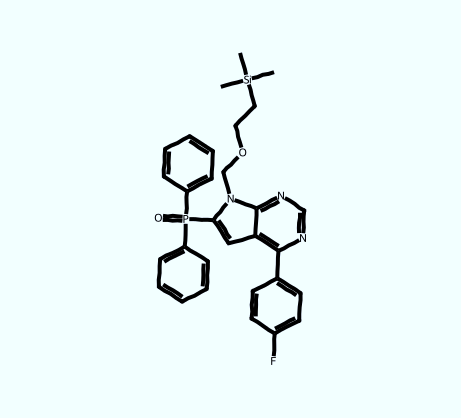 C[Si](C)(C)CCOCn1c(P(=O)(c2ccccc2)c2ccccc2)cc2c(-c3ccc(F)cc3)ncnc21